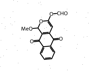 COC1OC(OC=O)=CC2=C1C(=O)c1ccccc1C2=O